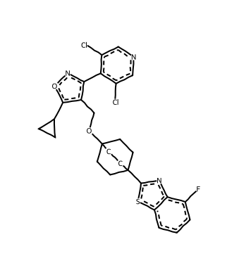 Fc1cccc2sc(C34CCC(OCc5c(-c6c(Cl)cncc6Cl)noc5C5CC5)(CC3)CC4)nc12